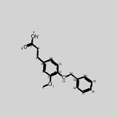 COc1cc(CCC(=O)O)ccc1OCc1ccccc1